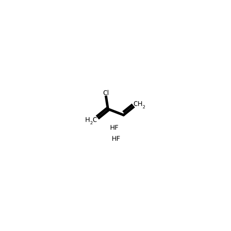 C=CC(=C)Cl.F.F